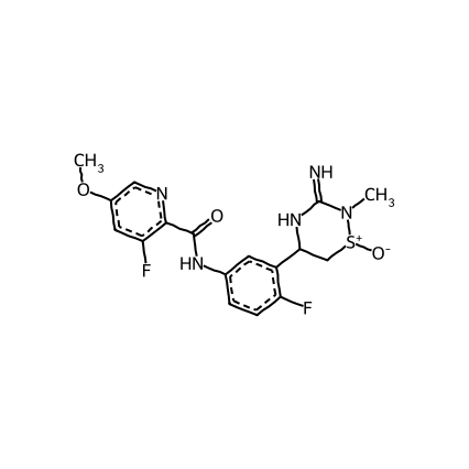 COc1cnc(C(=O)Nc2ccc(F)c(C3C[S+]([O-])N(C)C(=N)N3)c2)c(F)c1